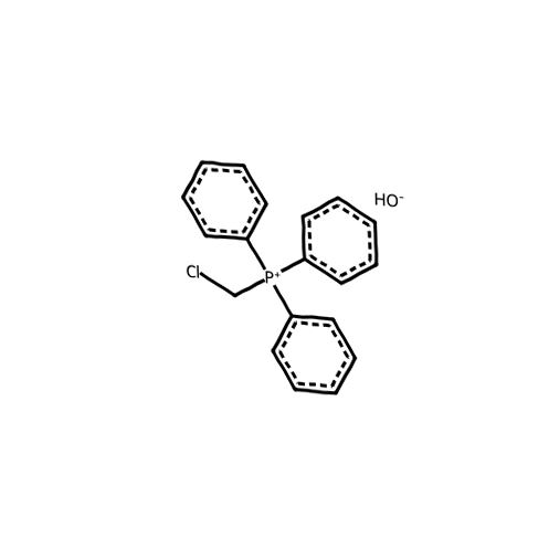 ClC[P+](c1ccccc1)(c1ccccc1)c1ccccc1.[OH-]